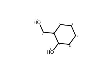 OC[C]1CCCCC1O